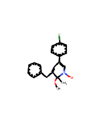 COC1(C)C(Cc2ccccc2)=CC(c2ccc(Cl)cc2)=CN1O